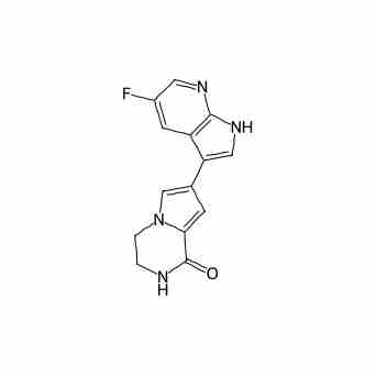 O=C1NCCn2cc(-c3c[nH]c4ncc(F)cc34)cc21